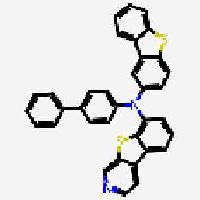 c1ccc(-c2ccc(N(c3ccc4sc5ccccc5c4c3)c3cccc4c3sc3cnccc34)cc2)cc1